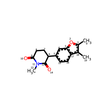 Cc1oc2cc(C3CCC(=O)N(C)C3=O)ccc2c1C